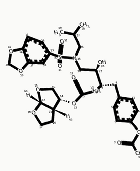 CC(=O)Oc1ccc(C[C@H](NC(=O)O[C@H]2CO[C@H]3OCC[C@H]32)[C@H](O)CN(CC(C)C)S(=O)(=O)c2ccc3c(c2)OCO3)cc1